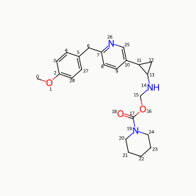 COc1ccc(Cc2ccc(C3CC3NCOC(=O)N3CCCCC3)cn2)cc1